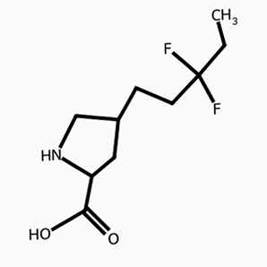 CCC(F)(F)CCC1CNC(C(=O)O)C1